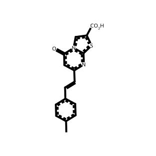 Cc1ccc(/C=C/c2cc(=O)n3cc(C(=O)O)sc3n2)cc1